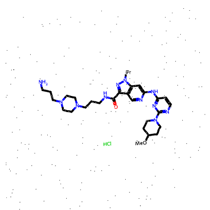 COC1CCN(c2nccc(Nc3cc4c(cn3)c(C(=O)NCCCN3CCN(CCCN)CC3)nn4C(C)C)n2)CC1.Cl